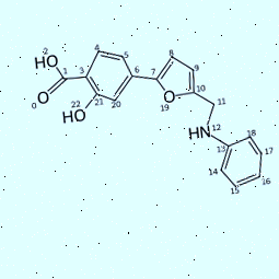 O=C(O)c1ccc(-c2ccc(CNc3ccccc3)o2)cc1O